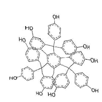 Oc1ccc(C2(c3ccc(O)cc3)c3cc(O)ccc3-c3c2c2c(c4c3C(c3ccc(O)cc3)(c3ccc(O)cc3)c3cc(O)ccc3-4)C(c3ccc(O)cc3)(c3ccc(O)cc3)c3cc(O)ccc3-2)cc1